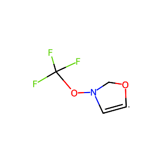 FC(F)(F)ON1C=[C]OC1